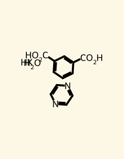 O.O=C(O)c1cccc(C(=O)O)c1.[KH].c1cnccn1